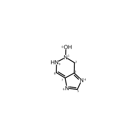 ON1CC2=NC=NC2=CN1